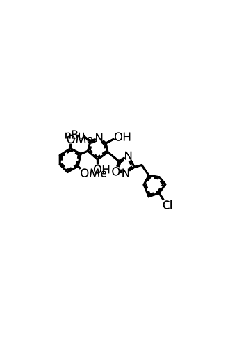 CCCCc1nc(O)c(-c2nc(Cc3ccc(Cl)cc3)no2)c(O)c1-c1c(OC)cccc1OC